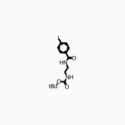 CC(C)(C)OC(=O)NCCNC(=O)c1ccc(I)cc1